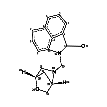 O=C1c2cccc3cccc(c23)N1CN1C[C@@H]2C[C@H]1CO2